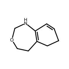 C1=CC2=C(CC1)CCOCN2